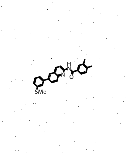 CSc1cccc(-c2ccc3nc(NC(=O)c4ccc(C)c(C)c4)ccc3c2)c1